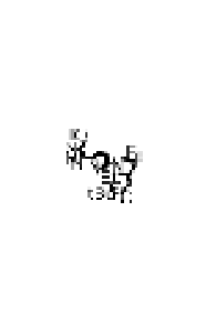 CCc1nc(-c2nnn(C)c2CO)ccc1N1CC(CC(=O)OC(C)(C)C)CC(F)(F)C1